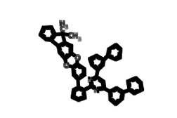 CC1(C)c2ccccc2-c2cc3c(cc21)Oc1ccc(-c2ccccc2-c2nc(-c4cccc(-c5ccccc5)c4)cc(-c4cccc(-c5ccccc5)c4)n2)cc1O3